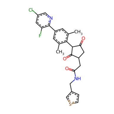 Cc1cc(-c2ncc(Cl)cc2F)cc(C)c1C1C(=O)CC(CC(=O)NCc2ccsc2)C1=O